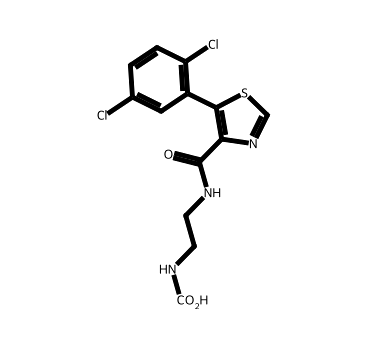 O=C(O)NCCNC(=O)c1ncsc1-c1cc(Cl)ccc1Cl